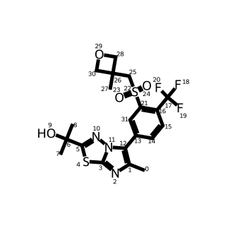 Cc1nc2sc(C(C)(C)O)nn2c1-c1ccc(C(F)(F)F)c(S(=O)(=O)CC2(C)COC2)c1